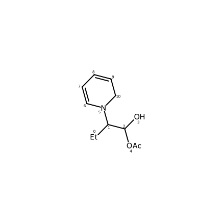 CCC(C(O)OC(C)=O)N1C=CC=CC1